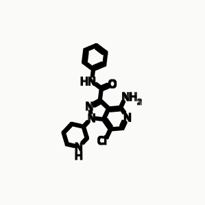 Nc1ncc(Cl)c2c1c(C(=O)Nc1ccccc1)nn2C1CCCNC1